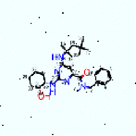 CN(Cc1ccccc1)C(=O)c1cc(NC(C)(C)CC(C)(C)C)nc(N[C@H]2CCCC[C@@H]2O)n1